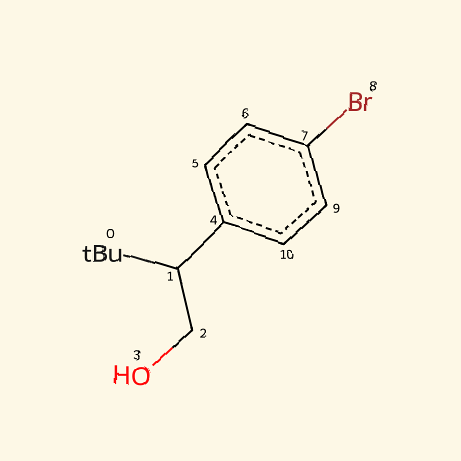 CC(C)(C)C(CO)c1ccc(Br)cc1